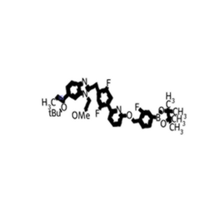 C/C=C(\OC(C)(C)C)c1ccc2nc(Cc3cc(F)c(-c4cccc(OCc5ccc(B6OC(C)(C)C(C)(C)O6)cc5F)n4)cc3F)n(CCOC)c2c1